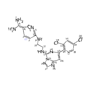 C=C(/C=C\C(C#N)=C(N)N)NCCNc1nc(-c2ccc(Cl)cc2Cl)cc2ncnn12